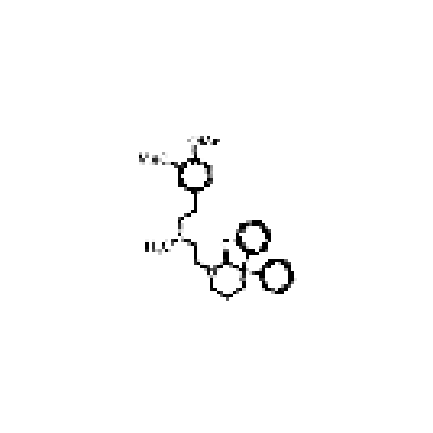 COc1ccc(CCN(C)CCN2CCCC(c3ccccc3)(c3ccccc3)C2=O)cc1OC